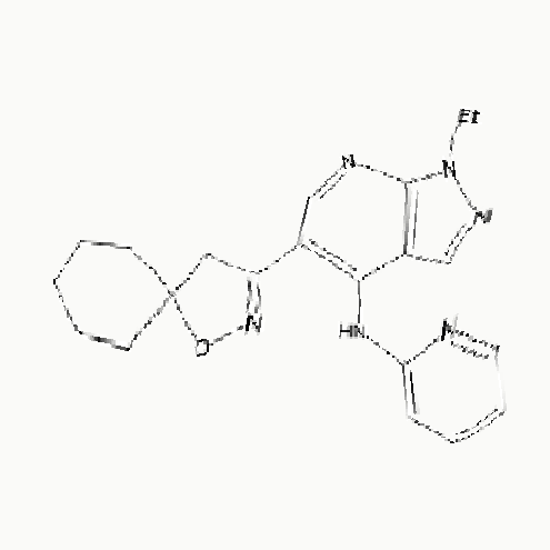 CCn1ncc2c(Nc3ccccn3)c(C3=NOC4(CCCCC4)C3)cnc21